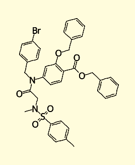 Cc1ccc(S(=O)(=O)N(C)CC(=O)N(Cc2ccc(Br)cc2)c2ccc(C(=O)OCc3ccccc3)c(OCc3ccccc3)c2)cc1